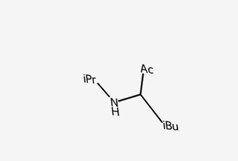 CCC(C)C(NC(C)C)C(C)=O